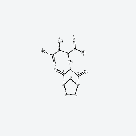 O=C(O)C(O)C(O)C(=O)O.O=C1CC(=O)C2CCC1C2